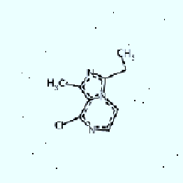 CCc1nc(C)c2c(Cl)nccn12